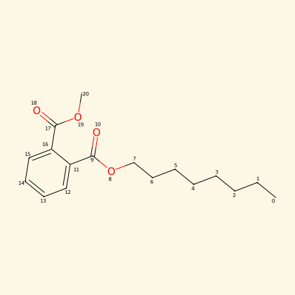 CCCCCCCCOC(=O)c1ccccc1C(=O)OC